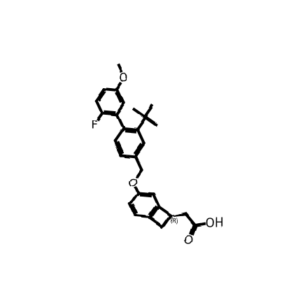 COc1ccc(F)c(-c2ccc(COc3ccc4c(c3)[C@@H](CC(=O)O)C4)cc2C(C)(C)C)c1